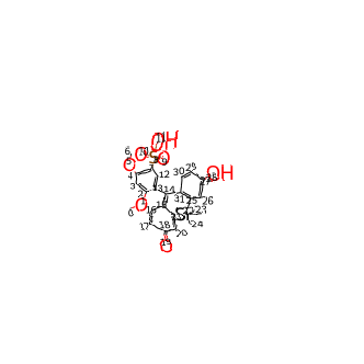 COc1cc(OC)c(S(=O)(=O)O)cc1C1=C2C=CC(=O)C=C2[Si](C)(C)c2cc(O)ccc21